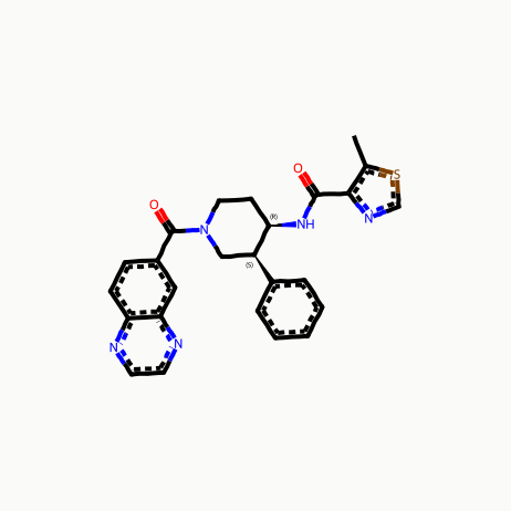 Cc1scnc1C(=O)N[C@@H]1CCN(C(=O)c2ccc3nccnc3c2)C[C@@H]1c1ccccc1